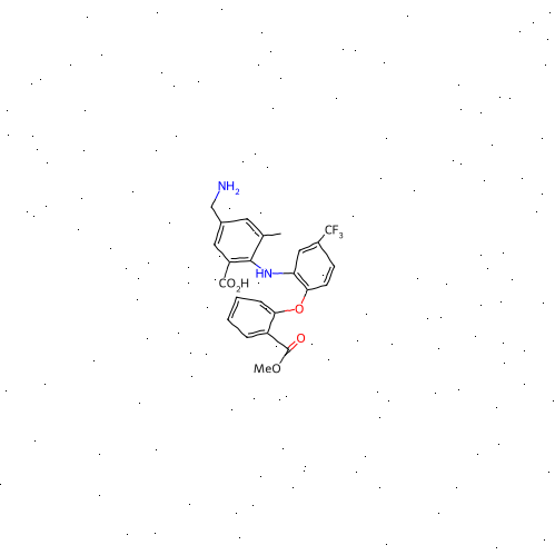 COC(=O)c1ccccc1Oc1ccc(C(F)(F)F)cc1Nc1c(C)cc(CN)cc1C(=O)O